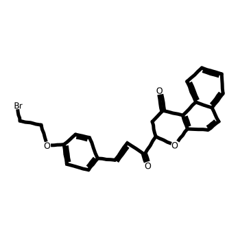 O=C1CC(C(=O)C=Cc2ccc(OCCBr)cc2)Oc2ccc3ccccc3c21